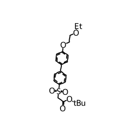 CCOCCOc1ccc(-c2ccc(S(=O)(=O)CC(=O)OC(C)(C)C)cc2)cc1